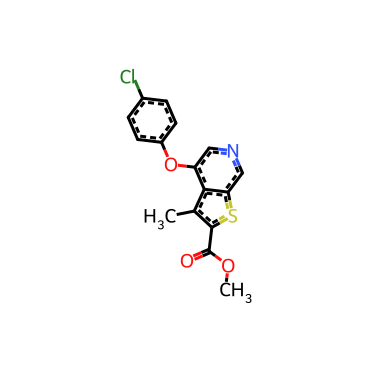 COC(=O)c1sc2cncc(Oc3ccc(Cl)cc3)c2c1C